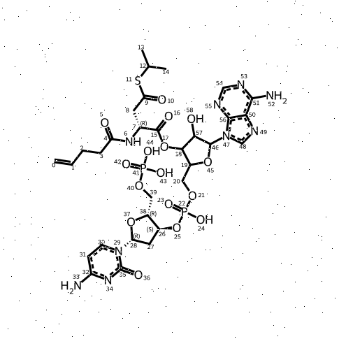 C=CCCC(=O)N[C@H](CC(=O)SC(C)C)C(=O)OC1C(COP(=O)(O)O[C@H]2C[C@H](n3ccc(N)nc3=O)O[C@@H]2COP(=O)(O)O)OC(n2cnc3c(N)ncnc32)C1O